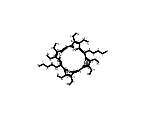 CCCCCc1c2nc(cc3[nH]c(c(CCCCC)c4nc(cc5[nH]c1c(CC)c5CC)C(CC)=C4CC)c(CC)c3CC)C(CC)=C2CC